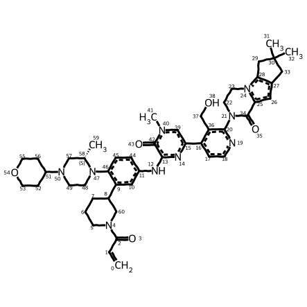 C=CC(=O)N1CCCC(c2cc(Nc3nc(-c4ccnc(N5CCn6c(cc7c6CC(C)(C)C7)C5=O)c4CO)cn(C)c3=O)ccc2N2CCN(C3CCOCC3)C[C@@H]2C)C1